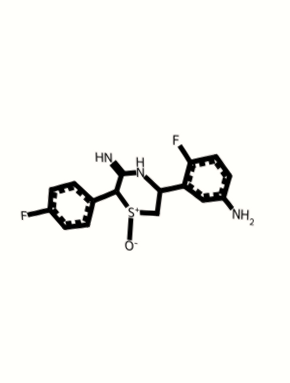 N=C1NC(c2cc(N)ccc2F)C[S+]([O-])C1c1ccc(F)cc1